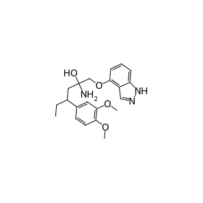 CCC(CC(N)(O)COc1cccc2[nH]ncc12)c1ccc(OC)c(OC)c1